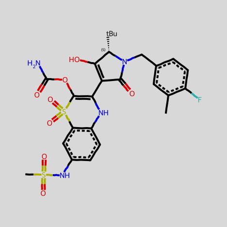 Cc1cc(CN2C(=O)C(C3=C(OC(N)=O)S(=O)(=O)c4cc(NS(C)(=O)=O)ccc4N3)=C(O)[C@@H]2C(C)(C)C)ccc1F